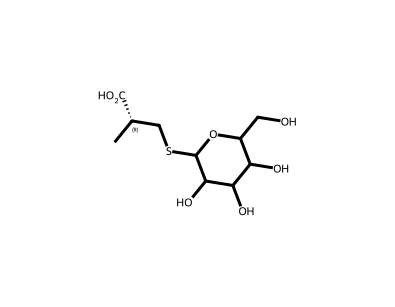 C[C@@H](CSC1OC(CO)C(O)C(O)C1O)C(=O)O